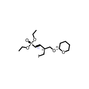 CCOP(=O)(/C=C/[C@H](CI)CO[C@@H]1CCCCO1)OCC